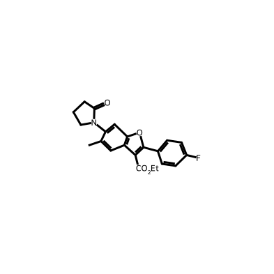 CCOC(=O)c1c(-c2ccc(F)cc2)oc2cc(N3CCCC3=O)c(C)cc12